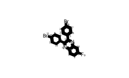 Fc1ccc2nc(C3C=CC(Br)=CC3)c(-c3ccc(Br)cc3)nc2c1